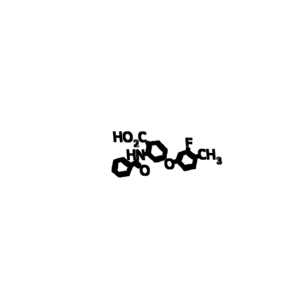 Cc1ccc(Oc2ccc(C(=O)O)c(NC(=O)c3ccccc3)c2)cc1F